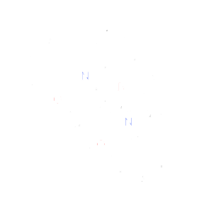 Cc1ccc2c(c1)B1C3=C(C=CC(C)C3)n3c4ccccc4oc4cc5oc6ccccc6n-2c5c1c43